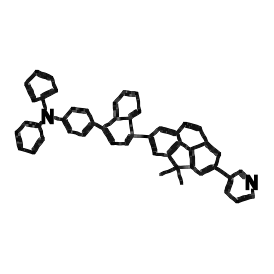 CC1(C)c2cc(-c3cccnc3)cc3ccc4cc(-c5ccc(-c6ccc(N(c7ccccc7)c7ccccc7)cc6)c6ccccc56)cc1c4c23